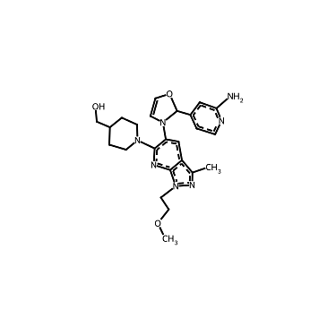 COCCn1nc(C)c2cc(N3C=COC3c3ccnc(N)c3)c(N3CCC(CO)CC3)nc21